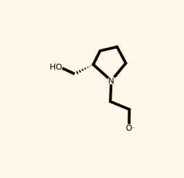 [O]CCN1CCC[C@H]1CO